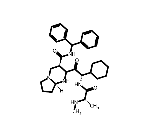 CN[C@@H](C)C(=O)N[C@H](C(=O)C1N[C@H]2CCCN2C[C@H]1C(=O)NC(c1ccccc1)c1ccccc1)C1CCCCC1